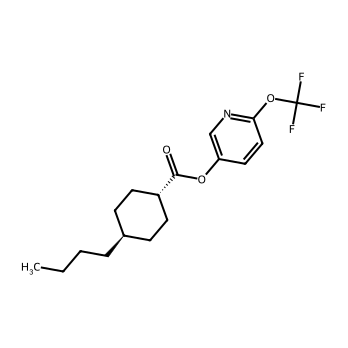 CCCC[C@H]1CC[C@H](C(=O)Oc2ccc(OC(F)(F)F)nc2)CC1